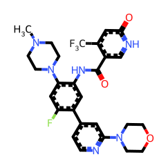 CN1CCN(c2cc(F)c(-c3ccnc(N4CCOCC4)c3)cc2NC(=O)c2c[nH]c(=O)cc2C(F)(F)F)CC1